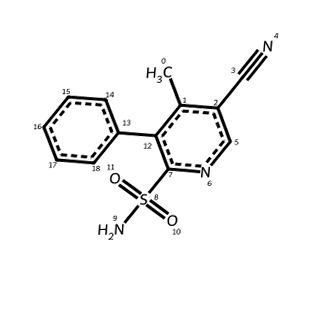 Cc1c(C#N)cnc(S(N)(=O)=O)c1-c1ccccc1